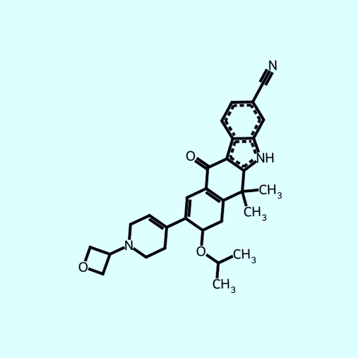 CC(C)OC1CC2=C(C=C1C1=CCN(C3COC3)CC1)C(=O)c1c([nH]c3cc(C#N)ccc13)C2(C)C